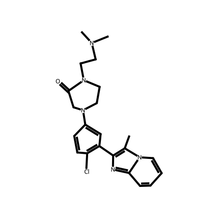 Cc1c(-c2cc(N3CCN(CCN(C)C)C(=O)C3)ccc2Cl)nc2ccccn12